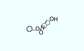 O=C(OCc1ccccc1)N1CC2=CC(O)CC2C1